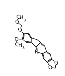 COCOc1cc2c(cc1OC)-c1nc3cc4c(cc3cc1C2)OCO4